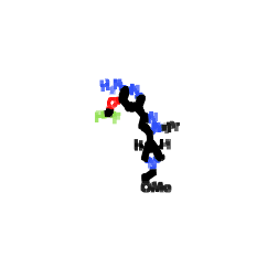 COCCN1C[C@@H]2C(c3cc(-c4cnc(N)c(OC(F)F)c4)nn3C(C)C)[C@@H]2C1